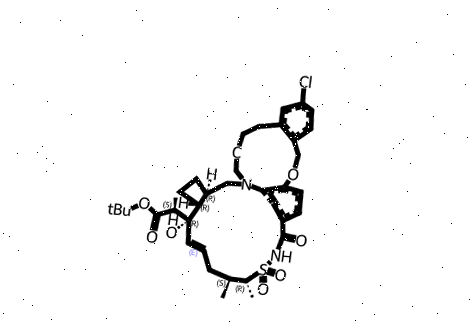 C[C@H](C(=O)OC(C)(C)C)[C@]1(O)/C=C/C[C@H](C)[C@@H](C)S(=O)(=O)NC(=O)c2ccc3c(c2)N(CCCCc2cc(Cl)ccc2CO3)C[C@@H]2CC[C@H]21